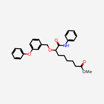 COC(=O)CCCCCC(OCc1cccc(Oc2ccccc2)c1)C(=O)Nc1ccccc1